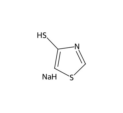 Sc1cscn1.[NaH]